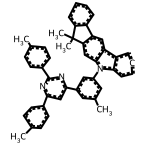 Cc1ccc(-c2cc(-c3cc(C)cc(-n4c5ccccc5c5cc6c(cc54)C(C)(C)c4ccccc4-6)c3)nc(-c3ccc(C)cc3)n2)cc1